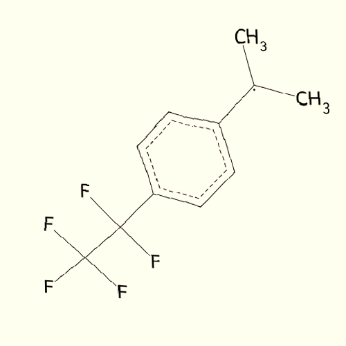 C[C](C)c1ccc(C(F)(F)C(F)(F)F)cc1